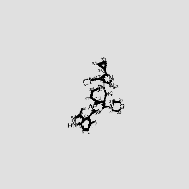 Cc1ccc2[nH]nc(C)c2c1-c1nc2c(c(N3CCOC[C@H]3C)n1)CN(c1c(Cl)c(C3CC3)nn1C)CC2